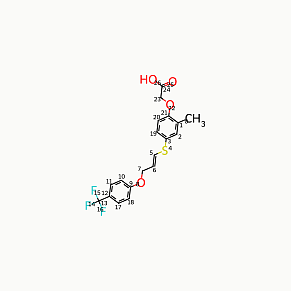 Cc1cc(SC=CCOc2ccc(C(F)(F)F)cc2)ccc1OCC(=O)O